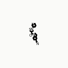 N#Cc1ccc2c(ccn2C(=O)C2CSN(c3cccnc3)C2)c1